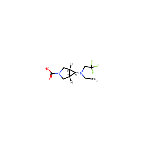 CCN(CC(F)(F)F)[C@@H]1[C@@H]2CN(C(=O)O)C[C@@H]21